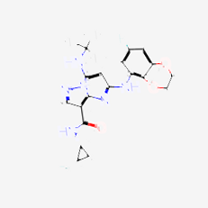 [2H]C([2H])([2H])Nc1cc(Nc2cc(F)cc3c2OCCO3)nc2c(C(=O)N[C@@H]3C[C@@H]3F)cnn12